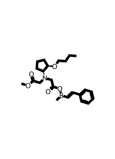 CCCCO[C@@H]1CCC[C@H]1N(CC(=O)OC)CC(=O)OB(C)/C=C/c1ccccc1